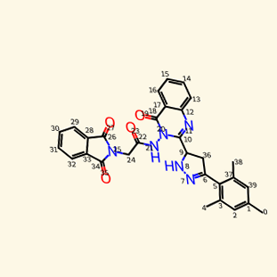 Cc1cc(C)c(C2=NNC(c3nc4ccccc4c(=O)n3NC(=O)CN3C(=O)c4ccccc4C3=O)C2)c(C)c1